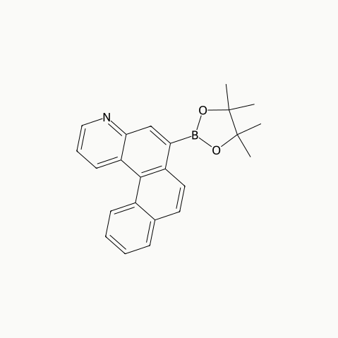 CC1(C)OB(c2cc3ncccc3c3c2ccc2ccccc23)OC1(C)C